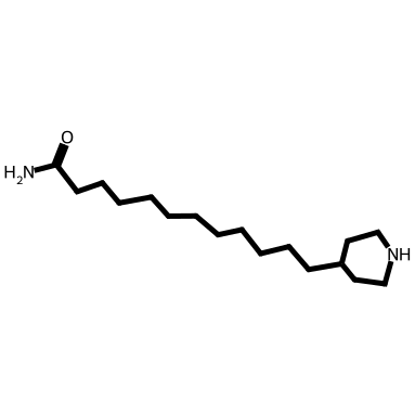 NC(=O)CCCCCCCCCCCC1CCNCC1